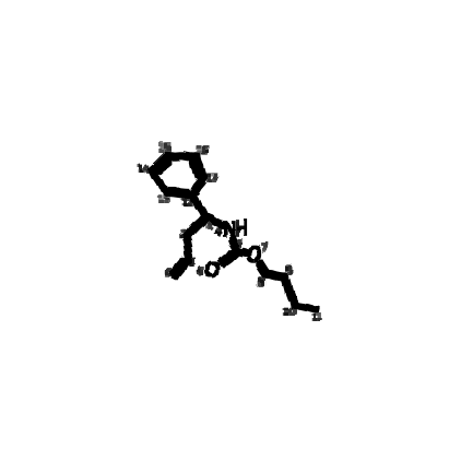 C=CCC(NC(=O)OCCCC)c1ccccc1